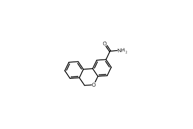 NC(=O)c1ccc2c(c1)-c1ccccc1CO2